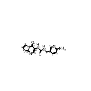 Nc1ccc(CNC(=O)Nc2cnc3sccn3c2=O)cn1